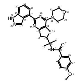 COc1ccc(C(=O)NC(C)(C)C2Cc3nc(-c4cccc5[nH]ncc45)nc(N4CCOCC4)c3S2)cc1